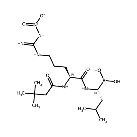 CC(C)C[C@H](NC(=O)[C@H](CCCNC(=N)N[N+](=O)[O-])NC(=O)CC(C)(C)C)B(O)O